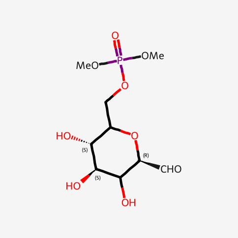 COP(=O)(OC)OCC1O[C@@H](C=O)C(O)[C@@H](O)[C@@H]1O